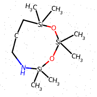 C[Si]1(C)CCCN[Si](C)(C)O[Si](C)(C)O1